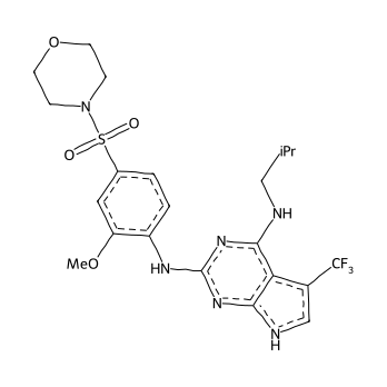 COc1cc(S(=O)(=O)N2CCOCC2)ccc1Nc1nc(NCC(C)C)c2c(C(F)(F)F)c[nH]c2n1